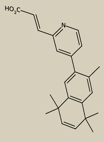 Cc1cc2c(cc1-c1ccnc(/C=C/C(=O)O)c1)C(C)(C)C=CC2(C)C